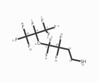 FC(F)(F)C(F)(OC(F)(F)C(F)(F)CCS)C(F)(F)F